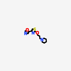 c1ncc(-c2csc(OCCCN3CCCCC3)n2)o1